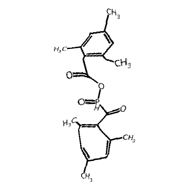 Cc1cc(C)c(C(=O)O[PH](=O)C(=O)c2c(C)cc(C)cc2C)c(C)c1